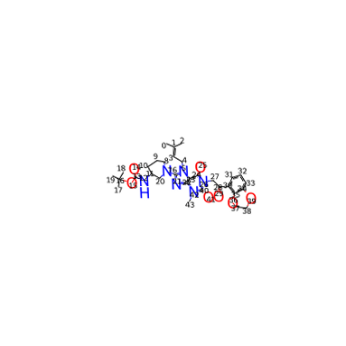 CC(C)=CCn1c(N2CCCC(NC(=O)OC(C)(C)C)C2)nc2c1c(=O)n(CC(=O)c1cccc3c1OCCO3)c(=O)n2C